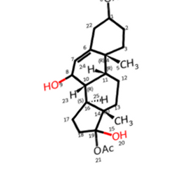 CC(=O)OC1CC[C@@]2(C)C(=CC(O)[C@@H]3[C@H]2CC[C@@]2(C)[C@H]3CCC2(O)OC(C)=O)C1